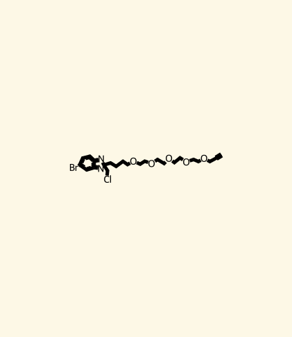 C#CCOCCOCCOCCOCCOCCCCC1(CCl)N=c2ccc(Br)cc2=N1